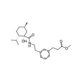 COC(=O)CCc1cccc(CCNC(=O)[C@]2(O)C[C@H](C)CC[C@H]2C(C)C)c1